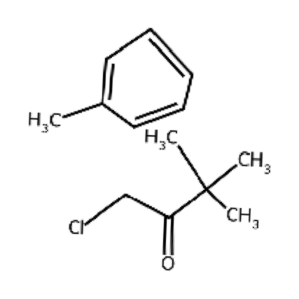 CC(C)(C)C(=O)CCl.Cc1ccccc1